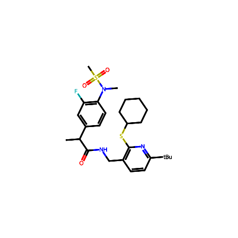 CC(C(=O)NCc1ccc(C(C)(C)C)nc1SC1CCCCC1)c1ccc(N(C)S(C)(=O)=O)c(F)c1